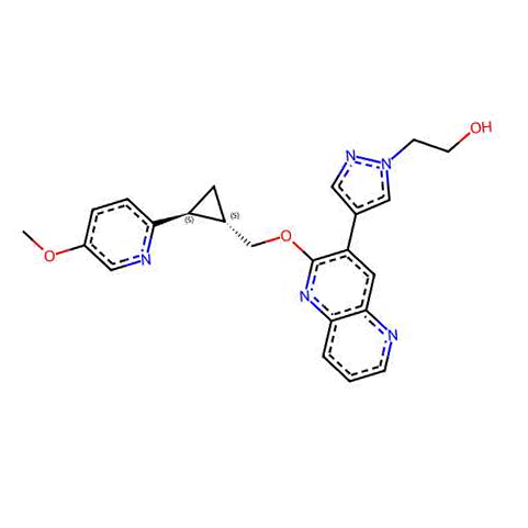 COc1ccc([C@H]2C[C@@H]2COc2nc3cccnc3cc2-c2cnn(CCO)c2)nc1